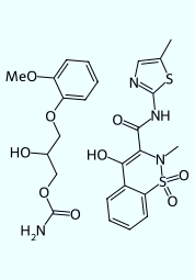 COc1ccccc1OCC(O)COC(N)=O.Cc1cnc(NC(=O)C2=C(O)c3ccccc3S(=O)(=O)N2C)s1